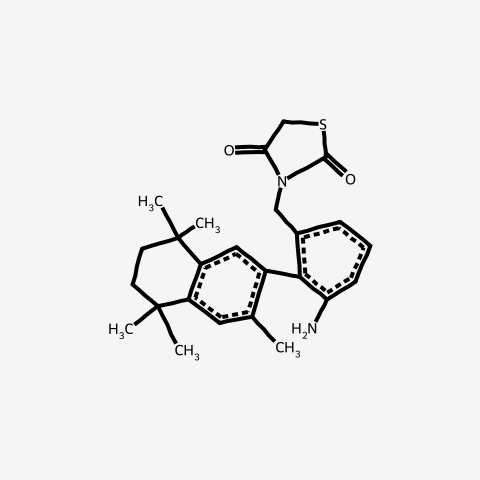 Cc1cc2c(cc1-c1c(N)cccc1CN1C(=O)CSC1=O)C(C)(C)CCC2(C)C